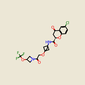 O=C1C[C@H](C(=O)NC23CC(OCC(=O)N4CC(OC(F)(F)F)C4)(C2)C3)Oc2ccc(Cl)cc21